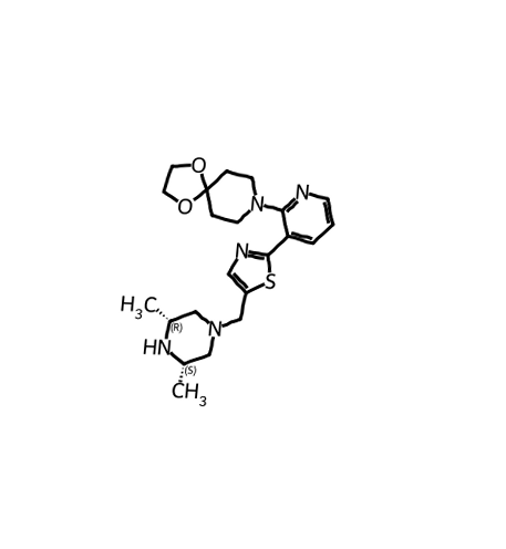 C[C@@H]1CN(Cc2cnc(-c3cccnc3N3CCC4(CC3)OCCO4)s2)C[C@H](C)N1